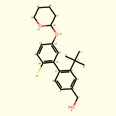 CC(C)(C)c1cc(CO)ccc1-c1cc(OC2CCCCO2)ccc1F